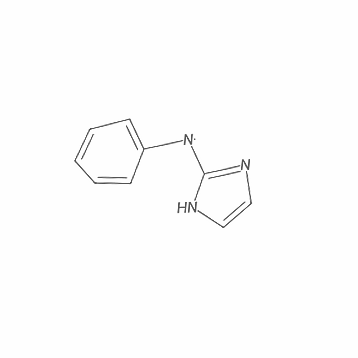 c1ccc([N]c2ncc[nH]2)cc1